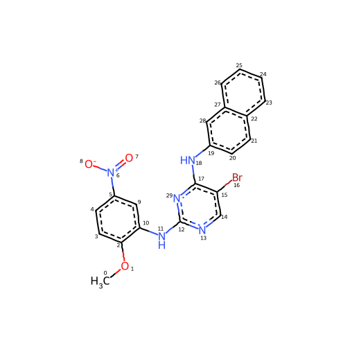 COc1ccc([N+](=O)[O-])cc1Nc1ncc(Br)c(Nc2ccc3ccccc3c2)n1